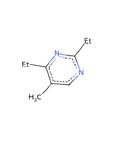 CCc1ncc(C)c(CC)n1